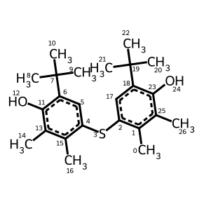 Cc1c(Sc2cc(C(C)(C)C)c(O)c(C)c2C)cc(C(C)(C)C)c(O)c1C